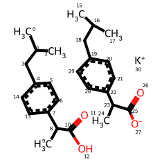 CC(C)Cc1ccc(C(C)C(=O)O)cc1.CC(C)Cc1ccc(C(C)C(=O)[O-])cc1.[K+]